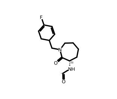 O=[C]N[C@H]1CCCCN(CC2C=CC(F)=CC2)C1=O